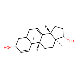 C[C@]12CC[C@H]3C(=CCC4C[C@@H](O)C=C[C@@]43C)[C@@H]1CC[C@@H]2O